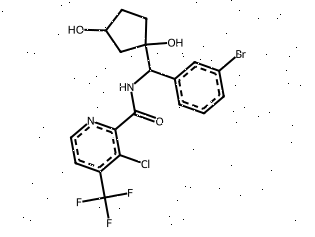 O=C(NC(c1cccc(Br)c1)C1(O)CCC(O)C1)c1nccc(C(F)(F)F)c1Cl